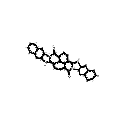 O=c1c2ccc3c4c(ccc(c5n1C1Cc6ccccc6C=C1N=5)c24)c(=O)n1c2cc4ccccc4cc2nc31